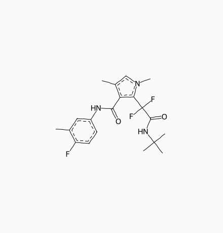 Cc1cc(NC(=O)c2c(C)cn(C)c2C(F)(F)C(=O)NC(C)(C)C)ccc1F